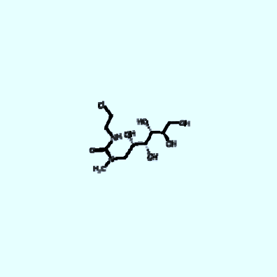 CN(C[C@H](O)[C@@H](O)[C@H](O)[C@H](O)CO)C(=O)NCCCl